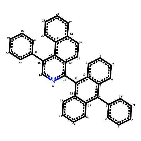 c1ccc(-c2c3ccccc3c(-c3ncc(-c4ccccc4)c4c3ccc3ccccc34)c3ccccc23)cc1